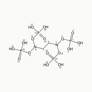 O=P(O)(O)ON(CCN(OP(=O)(O)O)OP(=O)(O)O)OP(=O)(O)O